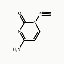 C#Sn1ccc(N)nc1=O